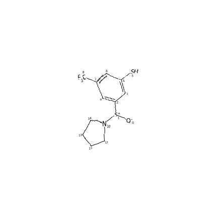 [O-][S+](c1cc(S)cc(C(F)(F)F)c1)N1CCCC1